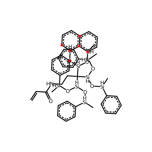 C=CC(=O)NCCC([SiH](O[SiH](C)c1ccccc1)O[SiH](C)c1ccccc1)([SiH](O[SiH](C)c1ccccc1)O[SiH](C)c1ccccc1)[SiH](O[SiH](C)c1ccccc1)O[SiH](C)c1ccccc1